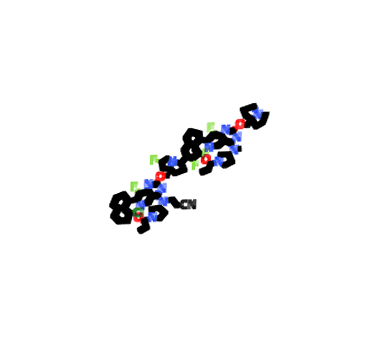 C=CC(=O)N1CC[C@@H](N(C)c2nc(OCC34CCCN3CCC4)nc3c(F)c(-c4cccc5cc(C6CC[C@@]7(COc8nc(N(CCC#N)[C@@H]9CCN(C(=O)C=C)C9)c9cnc(-c%10cccc%11cccc(Cl)c%10%11)c(F)c9n8)C[C@@H](F)CN67)c(F)c(F)c45)ncc23)C1